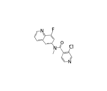 CN(C(=O)c1ccncc1Cl)c1cc(F)c2ncccc2c1